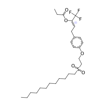 CCCCCCCCCCCCS(=O)(=O)CCOc1ccc(C/C=C(\OC(=O)CC)C(F)(F)F)cc1